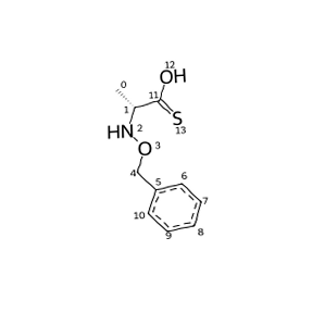 C[C@@H](NOCc1ccccc1)C(O)=S